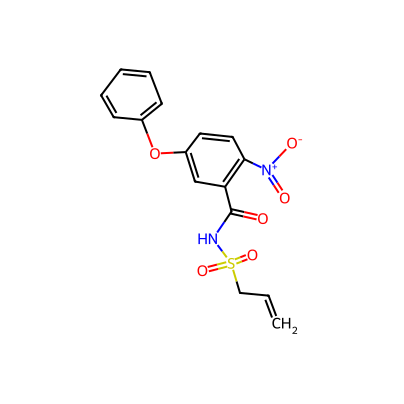 C=CCS(=O)(=O)NC(=O)c1cc(Oc2ccccc2)ccc1[N+](=O)[O-]